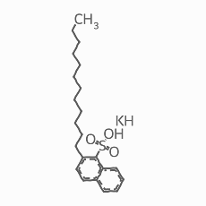 CCCCCCCCCCCCc1ccc2ccccc2c1S(=O)(=O)O.[KH]